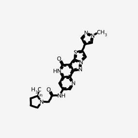 C[C@@H]1CCCN1CC(=O)Nc1cnc2c(c1)[nH]c(=O)c1c2nn2cc(-c3cnn(C)c3)sc12